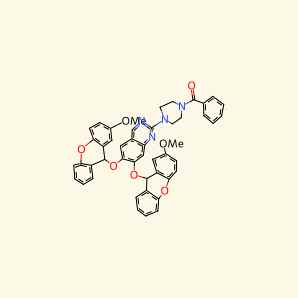 COc1ccc2c(c1)C(Oc1cc3cnc(N4CCN(C(=O)c5ccccc5)CC4)nc3cc1OC1c3ccccc3Oc3ccc(OC)cc31)c1ccccc1O2